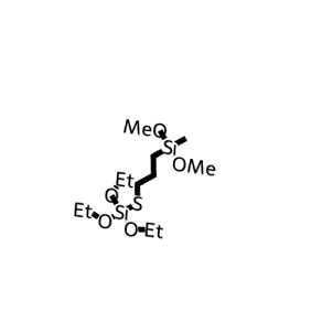 CCO[Si](OCC)(OCC)SCCC[Si](C)(OC)OC